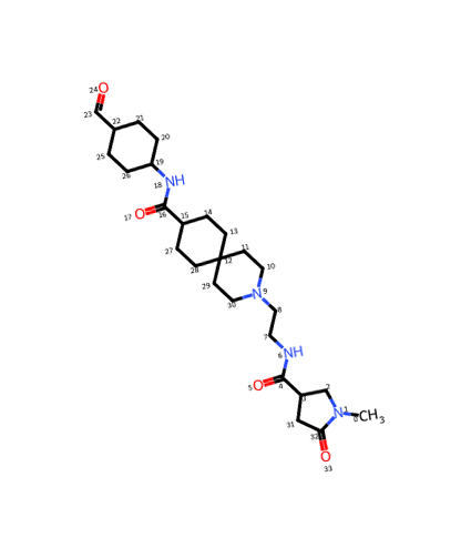 CN1CC(C(=O)NCCN2CCC3(CCC(C(=O)NC4CCC(C=O)CC4)CC3)CC2)CC1=O